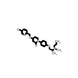 CCCN(C)[C@H](C)COc1ccc(-n2ccc(OCc3ccc(Cl)cn3)cc2=O)cc1